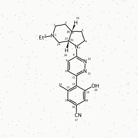 CCN1CC[C@@H]2CCN(c3ccc(-c4c(C)cc(C#N)cc4O)nn3)[C@@H]2C1